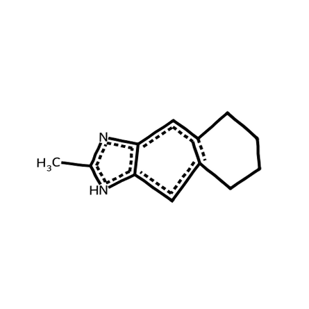 Cc1nc2cc3c(cc2[nH]1)CCCC3